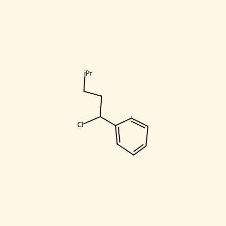 CC(C)CCC(Cl)c1[c]cccc1